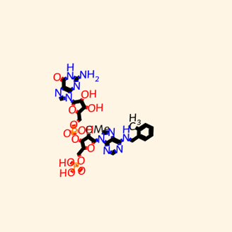 COC1C(OP(=O)(O)OCC2OC(n3cnc4c(=O)[nH]c(N)nc43)C(O)C2O)C(COP(=O)(O)O)OC1n1cnc2c(NCc3ccccc3C)ncnc21